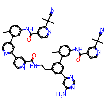 Cc1ccc(NC(=O)c2ccnc(C(C)(C)C#N)c2)cc1-c1cc(CCNC(=O)c2cc(-c3cc(-c4cc(NC(=O)c5ccnc(C(C)(C)C#N)c5)ccc4C)ccn3)ccn2)cc(-c2cc(N)ncn2)c1